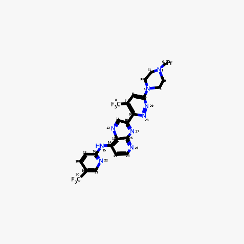 CC(C)N1CCN(c2cc(C(F)(F)F)c(-c3cnc4c(Nc5ccc(C(F)(F)F)cn5)ccnc4n3)nn2)CC1